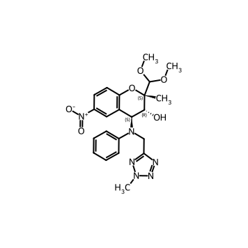 COC(OC)[C@@]1(C)Oc2ccc([N+](=O)[O-])cc2[C@H](N(Cc2nnn(C)n2)c2ccccc2)[C@H]1O